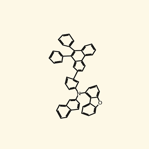 c1ccc(-c2c(-c3ccccc3)c3cc(-c4cccc(N(c5ccc6ccccc6c5)c5cccc6oc7ccccc7c56)c4)ccc3c3ccccc23)cc1